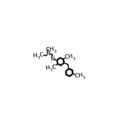 CCN(C)C=Nc1cc(C)c(Cc2cccc(C)c2)cc1C